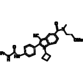 COCCN(C)C(=O)c1ccc2c(c1)c(C#N)c(-c1ccc(NC(=O)NC(C)C)cc1)n2C1CCC1